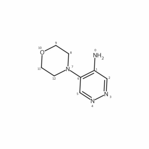 Nc1cnncc1N1CCOCC1